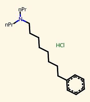 CCCN(CCC)CCCCCCCCc1ccccc1.Cl